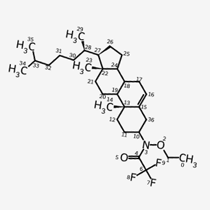 CCON(C(=O)C(F)(F)F)C1CC[C@@]2(C)C(=CCC3C2CC[C@@]2(C)C3CC[C@@H]2[C@H](C)CCCC(C)C)C1